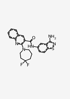 Nc1nsc2ccc(NC(=O)c3cc4ccccc4nc3N3CCCC(F)(F)CC3)cc12